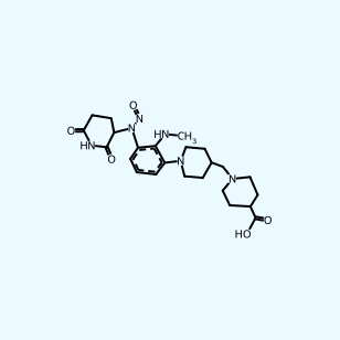 CNc1c(N2CCC(CN3CCC(C(=O)O)CC3)CC2)cccc1N(N=O)C1CCC(=O)NC1=O